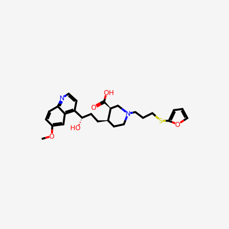 COc1ccc2nccc([C@@H](O)CC[C@@H]3CCN(CCCSc4ccco4)C[C@@H]3C(=O)O)c2c1